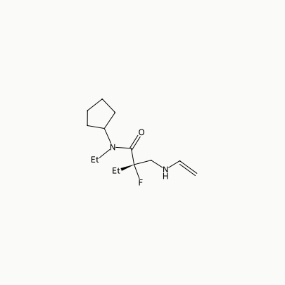 C=CNC[C@@](F)(CC)C(=O)N(CC)C1CCCC1